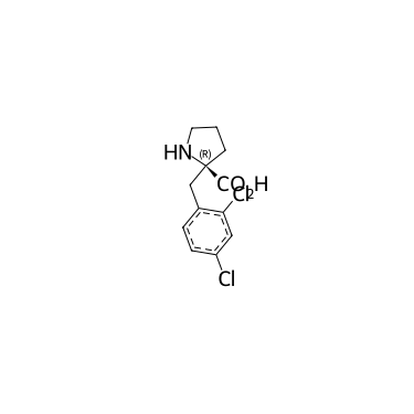 O=C(O)[C@]1(Cc2ccc(Cl)cc2Cl)CCCN1